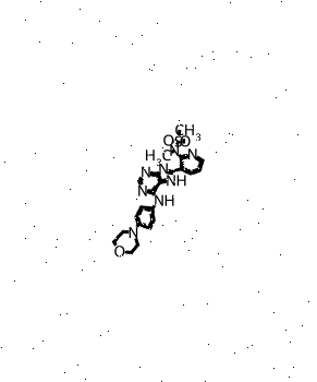 CN(c1ncccc1-c1nc2ncnc(Nc3ccc(N4CCOCC4)cc3)c2[nH]1)S(C)(=O)=O